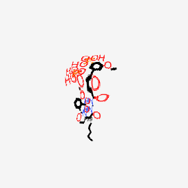 CCCCC[C@@H](C(=O)NCNC(=O)c1ccc(-c2cc(OCC)cc(P(=O)(O)O)c2)o1)[C@@H](CC)N(C=O)OC(=O)c1c(C)cccc1OCOP(=O)(O)O